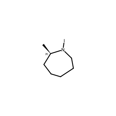 C[C@@H]1CCCCCN1I